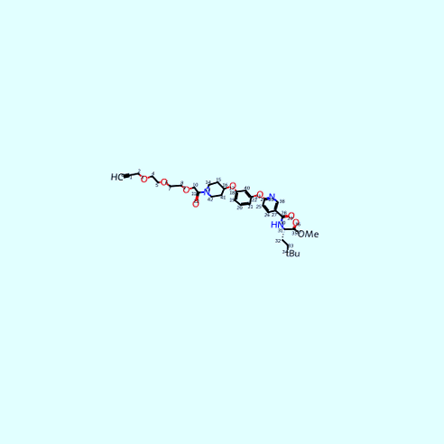 C#CCOCCOCCOCC(=O)N1CCC(Oc2cccc(Oc3ccc(C(=O)N[C@@H](CCC(C)(C)C)C(=O)OC)cn3)c2)CC1